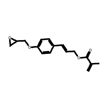 C=C(C)C(=O)OC/C=C/c1ccc(OCC2CO2)cc1